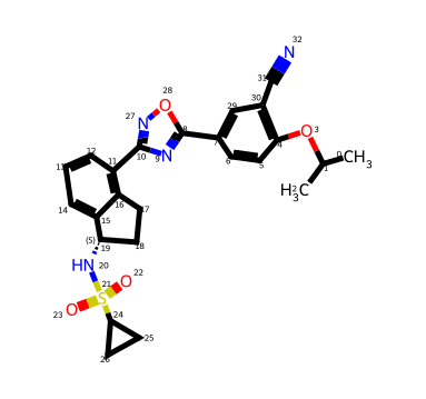 CC(C)Oc1ccc(-c2nc(-c3cccc4c3CC[C@@H]4NS(=O)(=O)C3CC3)no2)cc1C#N